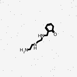 NCCNCCNCC1=CC=CCC1=O